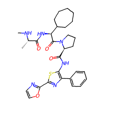 CN[C@@H](C)C(=O)N[C@H](C(=O)N1CCC[C@H]1C(=O)Nc1sc(-c2ncco2)nc1-c1ccccc1)C1CCCCCC1